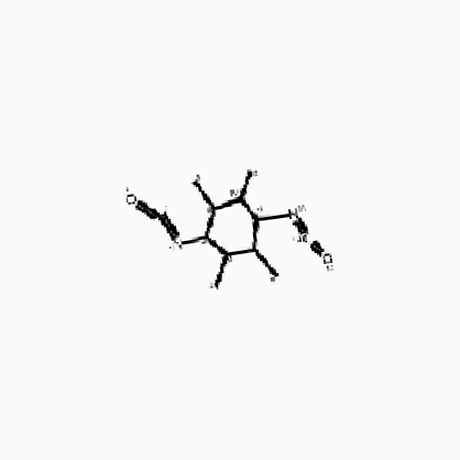 CC1C(C)C(N=C=O)C(C)C(C)C1N=C=O